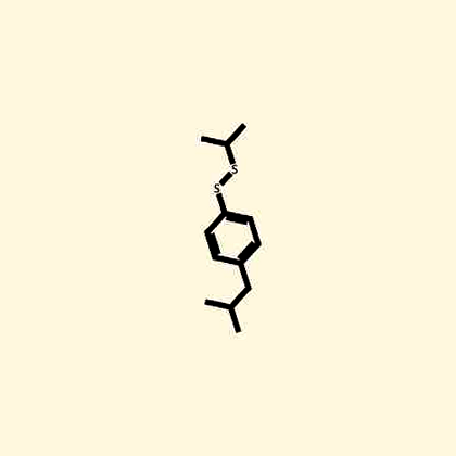 CC(C)Cc1ccc(SSC(C)C)cc1